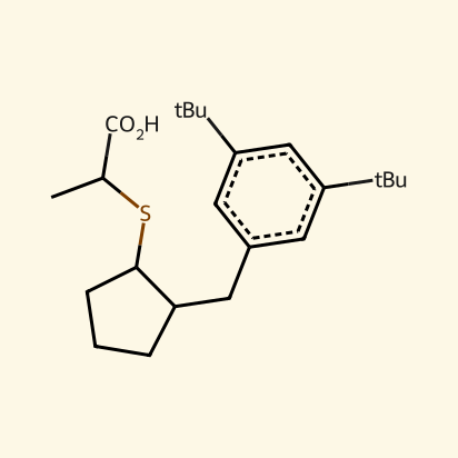 CC(SC1CCCC1Cc1cc(C(C)(C)C)cc(C(C)(C)C)c1)C(=O)O